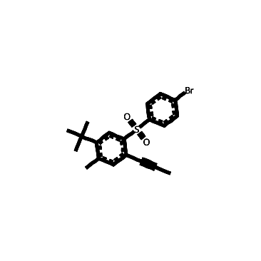 CC#Cc1cc(C)c(C(C)(C)C)cc1S(=O)(=O)c1ccc(Br)cc1